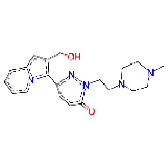 CN1CCN(CCn2nc(-c3c(CO)cc4ccccn34)ccc2=O)CC1